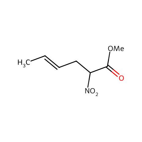 CC=CCC(C(=O)OC)[N+](=O)[O-]